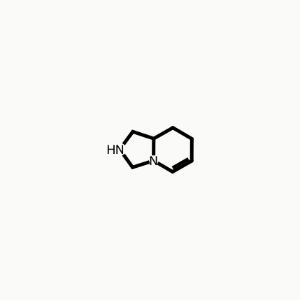 C1=CN2CNCC2CC1